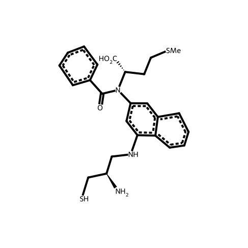 CSCC[C@@H](C(=O)O)N(C(=O)c1ccccc1)c1cc(NC[C@@H](N)CS)c2ccccc2c1